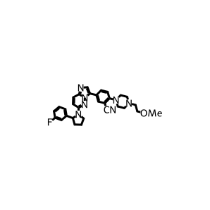 COCCN1CCN(c2ccc(-c3cnc4ccc(N5CCCC5c5cccc(F)c5)nn34)cc2C#N)CC1